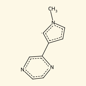 Cn1[c]c(-c2cnccn2)cc1